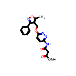 COC(=O)CC(=O)Nc1ccc(OCc2c(-c3ccccc3)noc2C)nn1